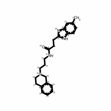 Cc1ccc2[nH]c(CCC(=O)NCCCN3CCc4ccccc4C3)nc2c1